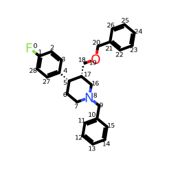 Fc1ccc([C@H]2CCN(Cc3ccccc3)C[C@H]2COCc2ccccc2)cc1